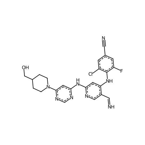 N#Cc1cc(F)c(Nc2cc(Nc3cc(N4CCC(CO)CC4)ncn3)ncc2C=N)c(Cl)c1